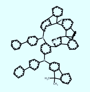 CC1(C)c2ccccc2-c2ccc(N(c3ccc(-c4ccccc4)cc3)c3ccc4c(c3)-c3cccc5c3-c3ccccc3C53c5ccccc5-c5cccc(c53)C3(C)c5ccccc5-c5ccc(cc53)N4c3ccc(-c4ccccc4)cc3)cc21